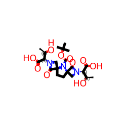 C[C@@H](O)[C@@H](C(=O)O)N1CC2(CCC3(CN([C@H](C(=O)O)[C@@H](C)O)C3=O)N2C(=O)OC(C)(C)C)C1=O